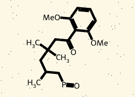 COc1cccc(OC)c1C(=O)CC(C)(C)CC(C)CP=O